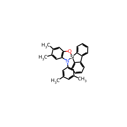 Cc1cc(C)cc(N2c3cc(C)c(C)cc3O[Si]23c2ccccc2-c2ccccc23)c1